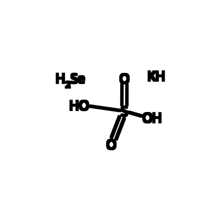 O=S(=O)(O)O.[KH].[SeH2]